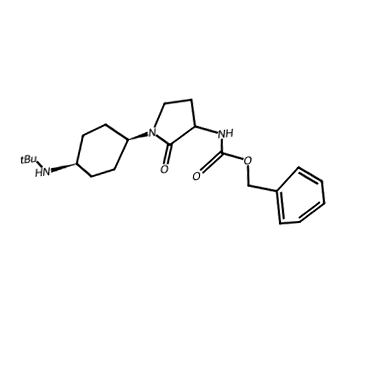 CC(C)(C)N[C@H]1CC[C@@H](N2CCC(NC(=O)OCc3ccccc3)C2=O)CC1